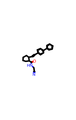 N#CCNC(=O)C1CCCCC1C#Cc1ccc(-c2ccccc2)cc1